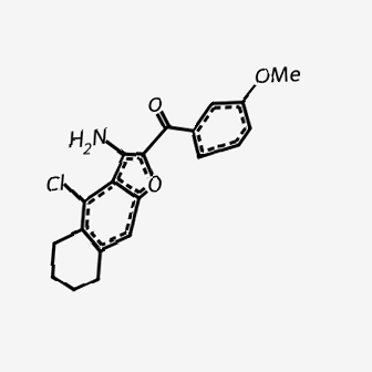 COc1cccc(C(=O)c2oc3cc4c(c(Cl)c3c2N)CCCC4)c1